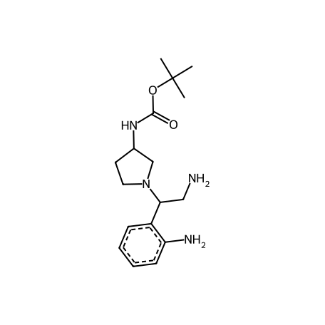 CC(C)(C)OC(=O)NC1CCN(C(CN)c2ccccc2N)C1